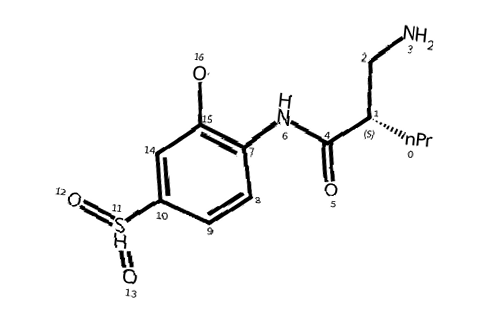 CCC[C@@H](CN)C(=O)Nc1ccc([SH](=O)=O)cc1[O]